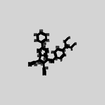 CCN(CC)c1ccc(/N=C2/C(C#N)=C(C#N)c3nc(-c4ccccc4)nn32)cc1